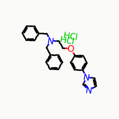 Cl.Cl.c1ccc(CN(CCOc2ccc(-n3ccnc3)cc2)Cc2ccccc2)cc1